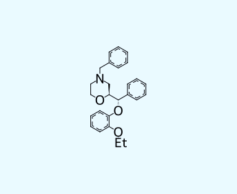 CCOc1ccccc1O[C@@H](c1ccccc1)[C@@H]1CN(Cc2ccccc2)CCO1